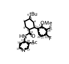 COc1c(C2CC(C(C)(C)C)CCC2C(=O)Nc2ccncc2C(C)=O)ccc(F)c1F